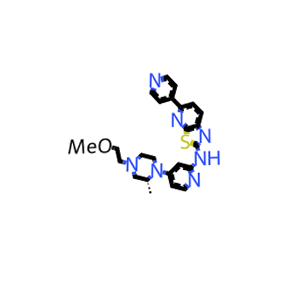 COCCN1CCN(c2ccnc(Nc3nc4ccc(-c5ccncc5)nc4s3)c2)[C@H](C)C1